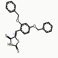 S=C1NC(=S)/C(=C/c2ccc(OCc3ccccc3)cc2OCc2ccccc2)S1